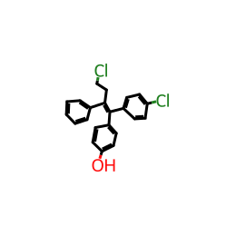 Oc1ccc(/C(=C(/CCCl)c2ccccc2)c2ccc(Cl)cc2)cc1